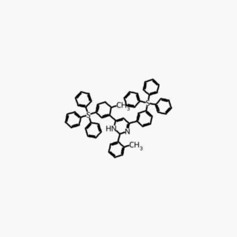 Cc1ccccc1C1N=C(c2cccc(S(c3ccccc3)(c3ccccc3)c3ccccc3)c2)C=C(C2=CC(S(c3ccccc3)(c3ccccc3)c3ccccc3)=CCC2C)N1